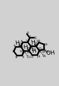 CC(C)C1C[C@H]2CCCC[C@]2(C)[C@H]2CC[C@]3(C)[C@@H](O)CC[C@H]3[C@H]12